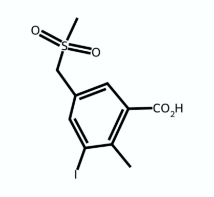 Cc1c(I)cc(CS(C)(=O)=O)cc1C(=O)O